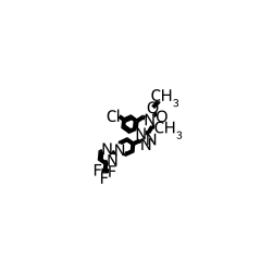 CCOC(=O)N1Cc2cc(Cl)ccc2-n2c(C3CCN(c4nccc(C(F)(F)F)n4)CC3)nnc2C1C